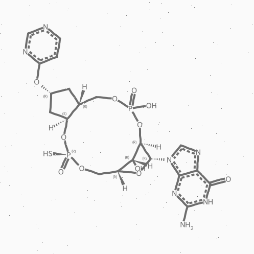 Nc1nc2c(ncn2[C@@H]2O[C@@H]3CO[P@@](=O)(S)O[C@H]4C[C@H](Oc5ccncn5)C[C@@H]4COP(=O)(O)O[C@@H]2[C@@H]3O)c(=O)[nH]1